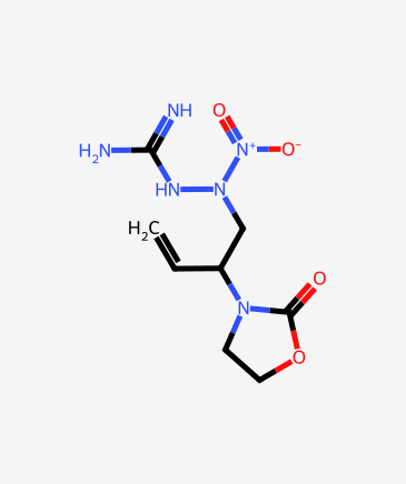 C=CC(CN(NC(=N)N)[N+](=O)[O-])N1CCOC1=O